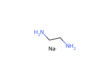 NCCN.[Na]